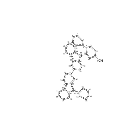 N#Cc1ccc(-c2ccccc2)c(-n2c3ccccc3c3cc(-c4ccc5c6ccccc6n(-c6ccccc6)c5c4)ccc32)c1